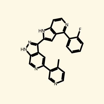 Cc1ccncc1-c1cc2c(-c3cc4c(-c5ccccc5F)nccc4[nH]3)n[nH]c2cn1